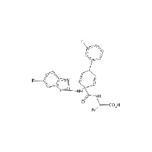 CC(C)[C@H](NC(=O)C1(Nc2nc3ccc(F)cc3s2)C=CC(c2cccc(F)c2)C=C1)C(=O)O